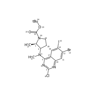 C[C@@H]1C(N(C)c2nc(Cl)nc3cc(Br)c(I)cc23)CCN1C(=O)OC(C)(C)C